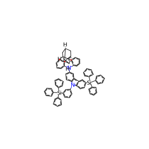 c1ccc([Si](c2ccccc2)(c2ccccc2)c2cccc(-n3c4ccc(N5c6ccccc6C6(c7ccccc75)C5C[C@H]7C[C@@H](C5)C[C@@H]6C7)cc4c4cc([Si](c5ccccc5)(c5ccccc5)c5ccccc5)ccc43)c2)cc1